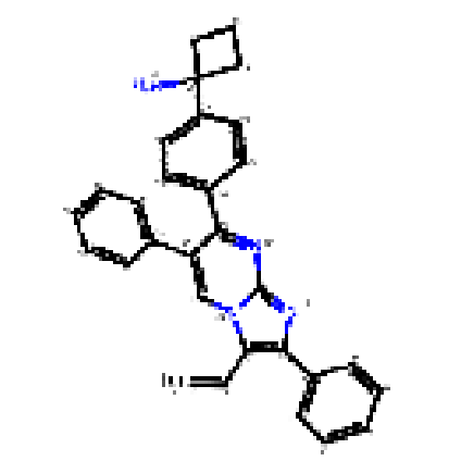 C=Cc1c(-c2ccccc2)nc2nc(-c3ccc(C4(N)CCC4)cc3)c(-c3ccccc3)cn12